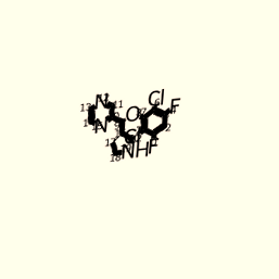 Fc1cc(F)c(Cl)c(O[C@H](c2cnccn2)[C@H]2CCNC2)c1Cl